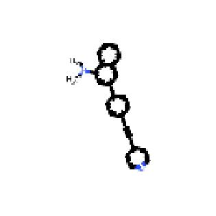 CN(C)c1cc(-c2ccc(C#Cc3ccncc3)cc2)cc2ccccc12